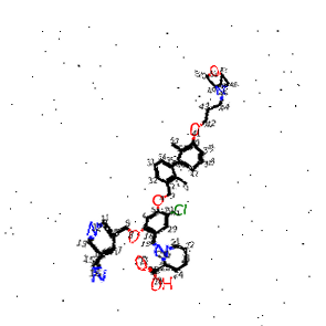 Cc1c(COc2cc(OCc3cncc(C#N)c3)c(CN3CCCC[C@H]3C(=O)O)cc2Cl)cccc1-c1cccc(OCCCN2CC3CC2CO3)c1C